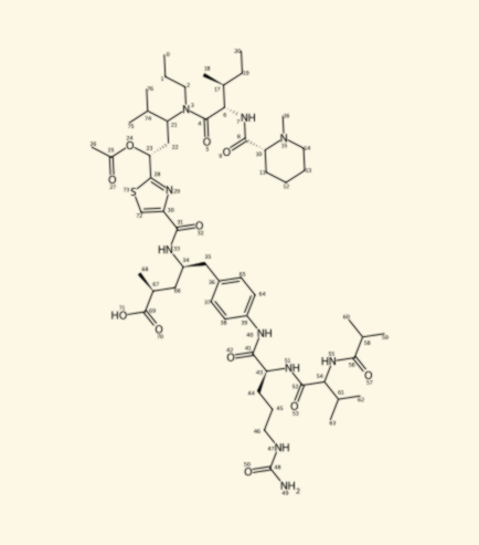 CCCN(C(=O)[C@@H](NC(=O)[C@H]1CCCCN1C)[C@@H](C)CC)C(C[C@@H](OC(C)=O)c1nc(C(=O)N[C@@H](Cc2ccc(NC(=O)[C@H](CCCNC(N)=O)NC(=O)C(NC(=O)C(C)C)C(C)C)cc2)C[C@H](C)C(=O)O)cs1)C(C)C